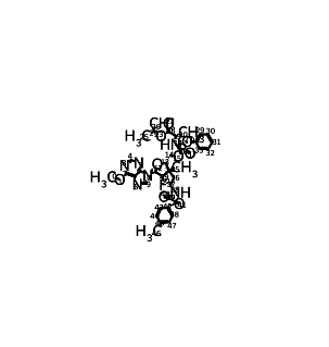 COc1ncnc2c1ncn2[C@@H]1O[C@H](COP(=O)(N[C@@H](C)C(=O)OC(C)C)Oc2ccccc2)C(C)(CCNS(=O)(=O)c2ccc(C)cc2)C1F